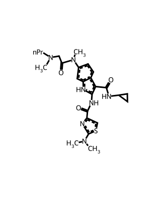 CCCN(C)CC(=O)N(C)c1ccc2c(C(=O)NC3CC3)c(NC(=O)c3csc(N(C)C)n3)[nH]c2c1